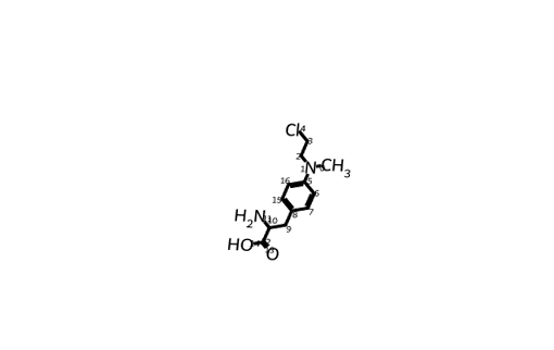 CN(CCCl)c1ccc(CC(N)C(=O)O)cc1